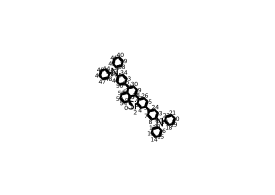 C[Si]1(C)c2cc(-c3ccc(N(c4ccccc4)c4ccccc4)cc3)ccc2-c2ccc(-c3ccc(N(c4ccccc4)c4ccccc4)cc3)c3cccc1c23